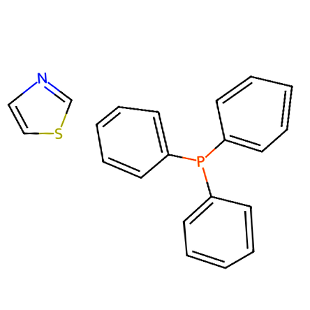 c1ccc(P(c2ccccc2)c2ccccc2)cc1.c1cscn1